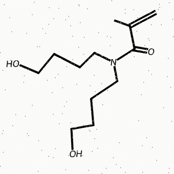 C=C(C)C(=O)N(CCCCO)CCCCO